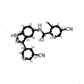 Cc1cc(C#N)cnc1C(=O)Nc1ccc2[nH]nc(-c3cncc(C#N)c3)c2c1